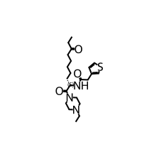 CCC(=O)CCCCC[C@H](NC(=O)Cc1ccsc1)C(=O)N1CCN(CC)CC1